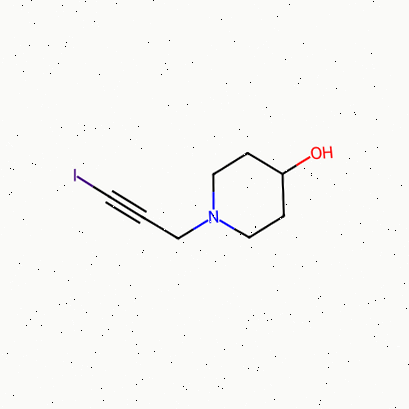 OC1CCN(CC#CI)CC1